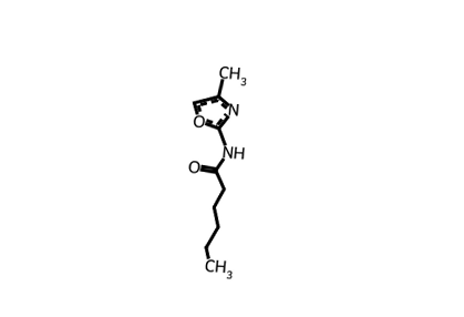 CCCCCC(=O)Nc1nc(C)co1